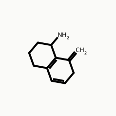 C=C1CC=CC2=C1C(N)CCC2